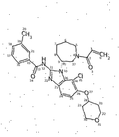 C=CC(=O)N1CCCC[C@@H](n2c(NC(=O)c3cccc(C)c3)nc3ccc(OC4CCOCC4)c(Cl)c32)C1